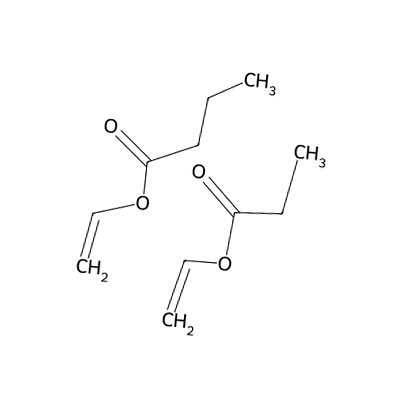 C=COC(=O)CC.C=COC(=O)CCC